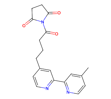 Cc1ccnc(-c2cc(CCCC(=O)N3C(=O)CCC3=O)ccn2)c1